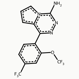 Nc1nnc(-c2ccc(C(F)(F)F)cc2OC(F)(F)F)c2cccn12